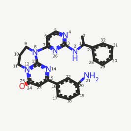 CC(Nc1nccc(N2CCCn3c2nc(-c2cccc(N)c2)cc3=O)n1)c1ccccc1